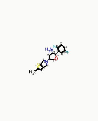 Cc1cc2c(s1)CN([C@H]1CO[C@H](c3cc(F)ccc3F)[C@@H](N)C1)C2